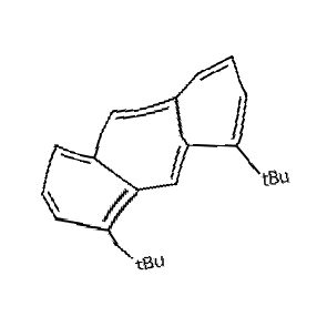 CC(C)(C)c1cccc2cc3cccc(C(C)(C)C)c3cc12